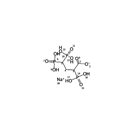 O=C([O-])C(CC(P(=O)(O)O)P(=O)(O)O)P(=O)(O)O.[Na+]